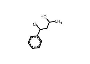 CC(O)CC(Cl)c1ccccc1